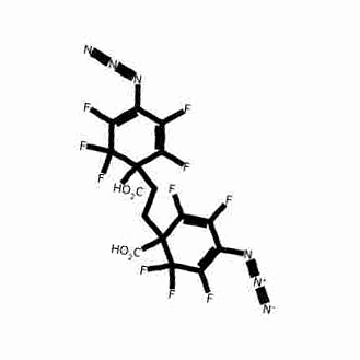 [N-]=[N+]=NC1=C(F)C(F)(F)C(CCC2(C(=O)O)C(F)=C(F)C(N=[N+]=[N-])=C(F)C2(F)F)(C(=O)O)C(F)=C1F